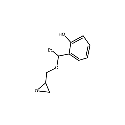 CCC(OCC1CO1)c1ccccc1O